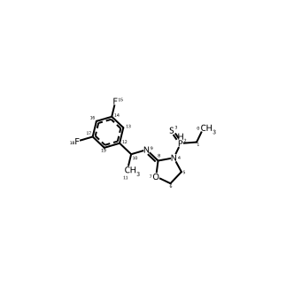 CC[PH](=S)N1CCO/C1=N\C(C)c1cc(F)cc(F)c1